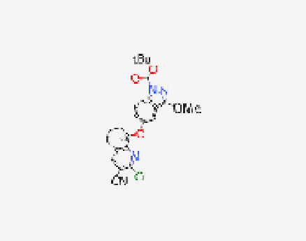 COc1nn(C(=O)OC(C)(C)C)c2ccc(O[C@@H]3CCCc4cc(C#N)c(Cl)nc43)cc12